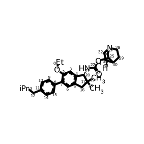 CCOc1cc2c(cc1-c1ccc(CC(C)C)cc1)CC(C)(C)[C@H]2NC(=O)O[C@@H]1CN2CCC1CC2